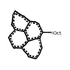 CCCCCCCCc1cc2cccc3ccc4c[c]cc1c4c32